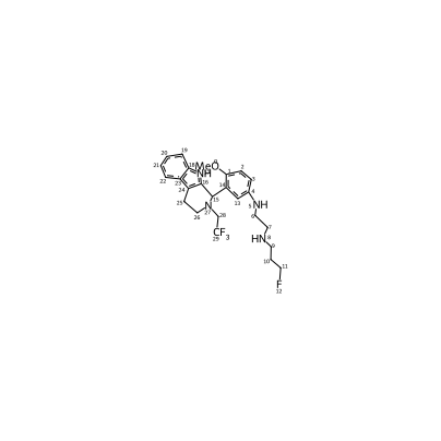 COc1ccc(NCCNCCCF)cc1C1c2[nH]c3ccccc3c2CCN1CC(F)(F)F